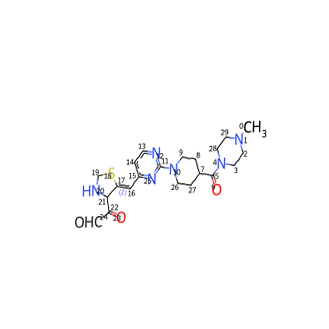 CN1CCN(C(=O)C2CCN(c3nccc(/C=C4\SCNC4C(=O)C=O)n3)CC2)CC1